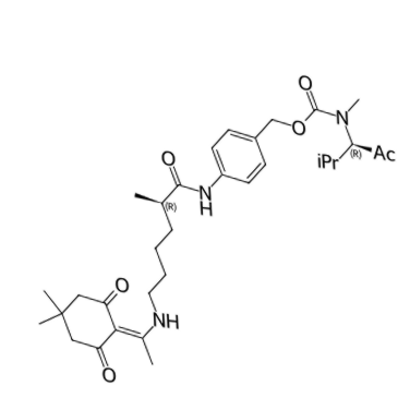 CC(=O)[C@@H](C(C)C)N(C)C(=O)OCc1ccc(NC(=O)[C@H](C)CCCCNC(C)=C2C(=O)CC(C)(C)CC2=O)cc1